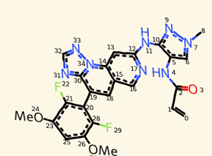 C=CC(=O)Nc1cn(C)nc1Nc1cc2c(cn1)cc(-c1c(F)c(OC)cc(OC)c1F)c1ncnn12